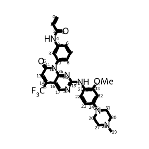 C=CC(=O)Nc1cccc(-n2c(=O)cc(C(F)(F)F)c3cnc(Nc4ccc(N5CCN(C)CC5)cc4OC)nc32)c1